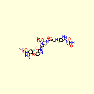 CCN(C)S(=O)(=O)Nc1ccc(F)c(Oc2ccc3ncn([C@H]4CN(C(=O)OC(C)(C)C)C5(CCN(C(=O)CC6(O)CCN(c7cc8c(cc7F)c(N7CCC(=O)NC7=O)nn8C)CC6)CC5)C4)c(=O)c3c2)c1C#N